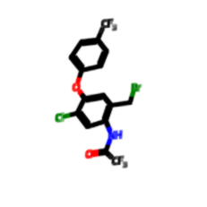 O=C(Nc1cc(Cl)c(Oc2ccc(C(F)(F)F)cc2)cc1CBr)C(F)(F)F